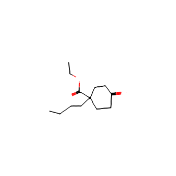 CCCCC1(C(=O)OCC)CCC(=O)CC1